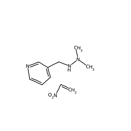 C=C[N+](=O)[O-].CN(C)NCc1cccnc1